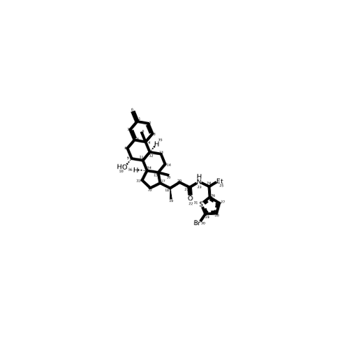 C=C1C=CC2(C)C(=C1)C[C@@H](O)C1[C@@H]2CCC2(C)C([C@H](C)CC(=O)NC(CC)c3ccc(Br)s3)CC[C@@H]12